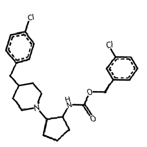 O=C(NC1CCCC1N1CCC(Cc2ccc(Cl)cc2)CC1)OCc1cccc(Cl)c1